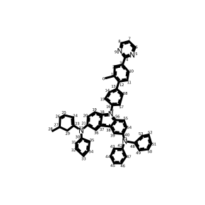 Cc1cc(-c2ncccn2)ccc1-c1ccc(-n2c3ccc(N(C4=CC=CC(C)C4)c4ccccc4)cc3c3cc(N(c4ccccc4)c4ccccc4)ccc32)cc1